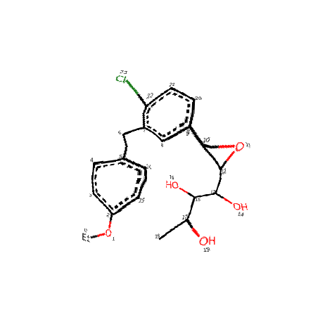 CCOc1ccc(Cc2cc(C3OC3C(O)C(O)C(C)O)ccc2Cl)cc1